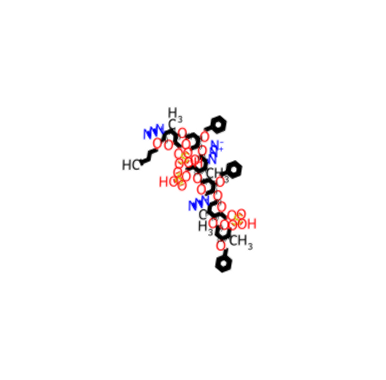 C#CCCCO[C@@H]1OC(COS(=O)(=O)O)[C@@H](O[C@H]2C[C@H](OCc3ccccc3)[C@H](O[C@@H]3OC(COS(=O)(=O)O)[C@@H](O[C@H]4C[C@H](OCc5ccccc5)[C@H](O[C@@H]5OC(COS(=O)(=O)O)[C@@H](O[C@H]6C[C@H](OCc7ccccc7)[C@H](C)CO6)[C@H](C)C5N=[N+]=[N-])CO4)[C@H](C)C3N=[N+]=[N-])CO2)[C@H](C)C1N=[N+]=[N-]